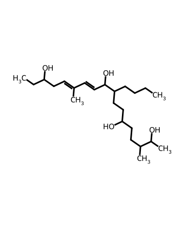 CCCCC(CCC(O)CCC(C)C(C)O)C(O)/C=C/C(C)=C/CC(O)CC